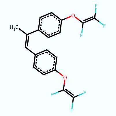 CC(=Cc1ccc(OC(F)=C(F)F)cc1)c1ccc(OC(F)=C(F)F)cc1